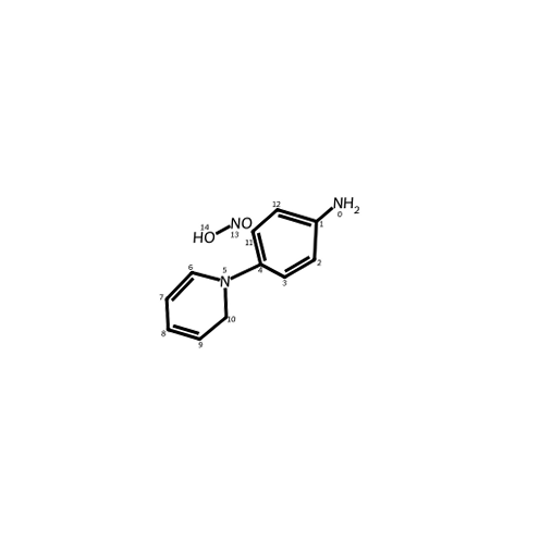 Nc1ccc(N2C=CC=CC2)cc1.O=NO